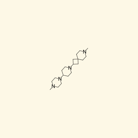 CN1CCN(C2CCN(C3CC4(CCN(C)CC4)C3)CC2)CC1